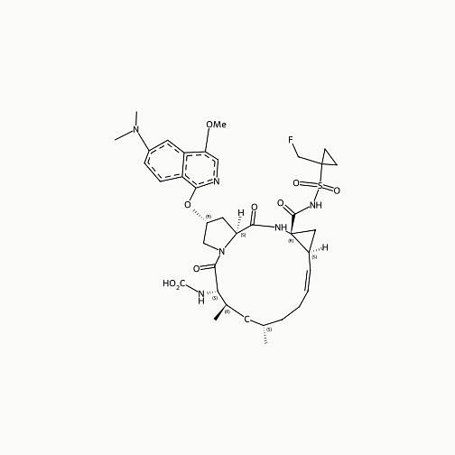 COc1cnc(O[C@@H]2C[C@H]3C(=O)N[C@]4(C(=O)NS(=O)(=O)C5(CF)CC5)C[C@H]4C=CCC[C@H](C)C[C@@H](C)[C@H](NC(=O)O)C(=O)N3C2)c2ccc(N(C)C)cc12